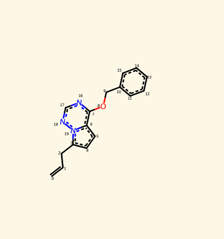 C=CCc1ccc2c(OCc3ccccc3)ncnn12